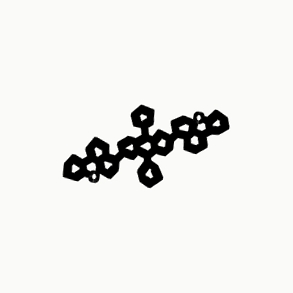 c1ccc(-c2c3ccc(-c4ccc5c6c(cccc46)-c4ccccc4O5)cc3c(-c3ccccc3)c3ccc(-c4ccc5c6c(cccc46)-c4ccccc4O5)cc23)cc1